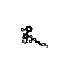 CCCCOC(=O)Oc1c(-c2ccccc2Cl)noc1C